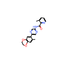 Cc1cc2c(cc1-c1cnc(NC(=O)c3ncccc3C)cn1)OCCO2